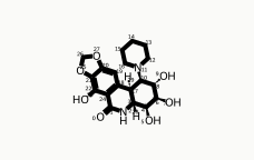 O=C1N[C@H]2[C@H](O)[C@H](O)[C@@H](O)[C@H](N3CCCCC3)[C@@H]2c2cc3c(c(O)c21)OCO3